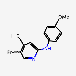 COc1ccc(Nc2cc(C)c(C(C)C)cn2)cc1